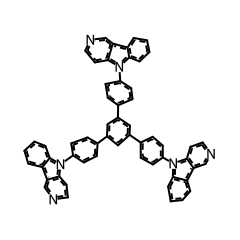 c1ccc2c(c1)c1cnccc1n2-c1ccc(-c2cc(-c3ccc(-n4c5ccccc5c5cnccc54)cc3)cc(-c3ccc(-n4c5ccccc5c5cnccc54)cc3)c2)cc1